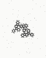 c1ccc(-n2c3ccccc3c3c2ccc2c4ccccc4n(-c4ccc5c(c4)Oc4cccc6c4B5c4ccc(-n5c7ccccc7c7ccc8c(c9ccccc9n8-c8ccccc8)c75)cc4O6)c23)cc1